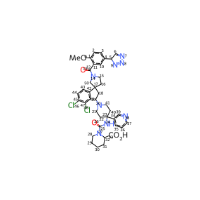 COc1ccc(C2C=NN=N2)cc1C(=O)N1CCC(CCN2CCC(NC(=O)N3CCCCC3C(=O)O)(c3cccnc3)CC2)(c2ccc(Cl)c(Cl)c2)C1